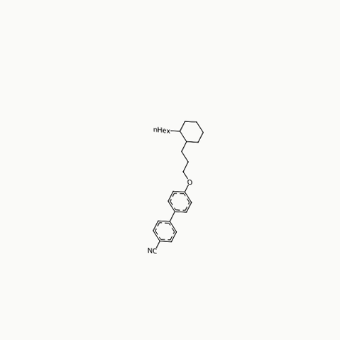 CCCCCCC1CCCCC1CCCOc1ccc(-c2ccc(C#N)cc2)cc1